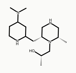 C[C@H](O)CN1[C@H](CC2CC(N(C)C)CCN2)CNC[C@@H]1C